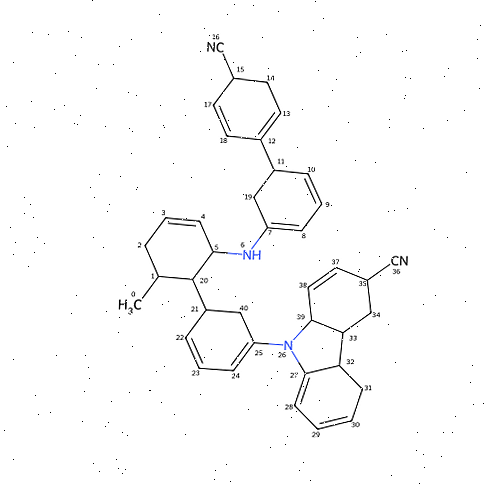 CC1CC=CC(NC2=CC=CC(C3=CCC(C#N)C=C3)C2)C1C1C=CC=C(N2C3=CC=CCC3C3CC(C#N)C=CC32)C1